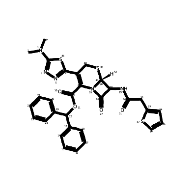 CN(C)c1nnc(C2=C(C(=O)OC(c3ccccc3)c3ccccc3)N3C(=O)C(NC(=O)Cc4cccs4)[C@H]3SC2)s1